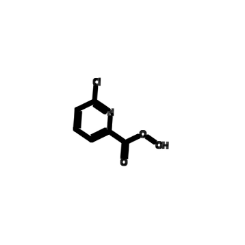 O=C(OO)c1cccc(Cl)n1